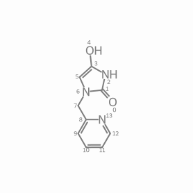 O=c1[nH]c(O)cn1Cc1ccccn1